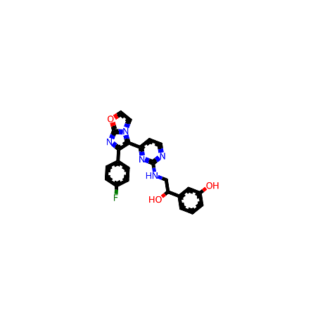 Oc1cccc(C(O)CNc2nccc(-c3c(-c4ccc(F)cc4)nc4occn34)n2)c1